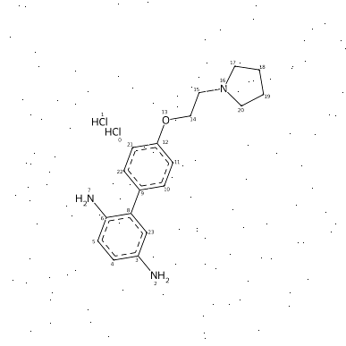 Cl.Cl.Nc1ccc(N)c(-c2ccc(OCCN3CCCC3)cc2)c1